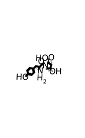 N[C@@H](Cc1ccc(O)cc1)C(=O)N1C[C@@H](O)C[C@@H]1C(=O)O